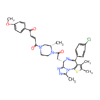 COc1ccc(C(=O)/C=C/C(=O)N2CCN(C(=O)C[C@@H]3N=C(c4ccc(Cl)cc4)c4c(sc(C)c4C)-n4c(C)nnc43)[C@@H](C)C2)cc1